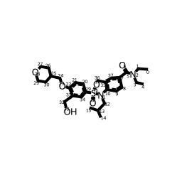 CCN(CC)C(=O)c1ccc(N(CC(C)C)S(=O)(=O)c2ccc(OCC3CCOCC3)c(CO)c2)c(C)c1